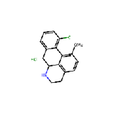 COc1ccc2c3c1-c1c(Cl)cccc1CC3NCC2.Cl